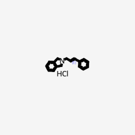 C(=C\c1ccccc1)/CN1Cc2ccccc2C1.Cl